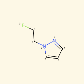 FCCn1[c]c[c]n1